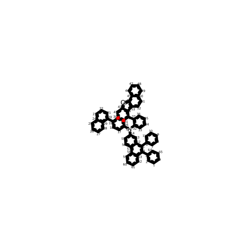 c1ccc(-c2c(-c3ccccc3)c3cc(N(c4ccc(-c5cccc6ccccc56)cc4)c4ccccc4-c4cccc5oc6c7ccccc7ccc6c45)ccc3c3ccccc23)cc1